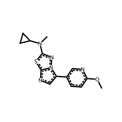 COc1ccc(-c2cnc3sc(N(C)C4CC4)nn23)cn1